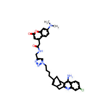 CN(C)c1ccc2c(CC(=O)NCc3cn(CCCCC4=CC5Cc6nc7cc(Cl)ccc7c(N)c6C(C4)C5)nn3)cc(=O)oc2c1